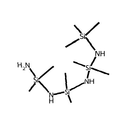 C[Si](C)(C)N[Si](C)(C)N[Si](C)(C)N[Si](C)(C)N